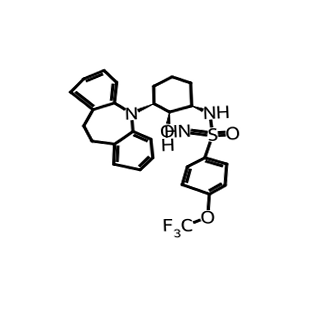 N=S(=O)(N[C@@H]1CCC[C@H](N2c3ccccc3CCc3ccccc32)[C@@H]1O)c1ccc(OC(F)(F)F)cc1